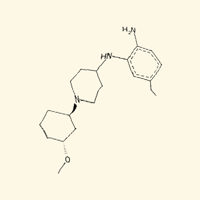 CO[C@@H]1CCC[C@@H](N2CCC(Nc3cc(C)ccc3N)CC2)C1